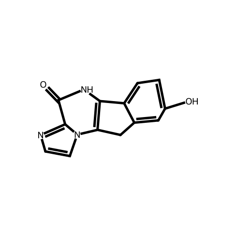 O=c1[nH]c2c(n3ccnc13)Cc1cc(O)ccc1-2